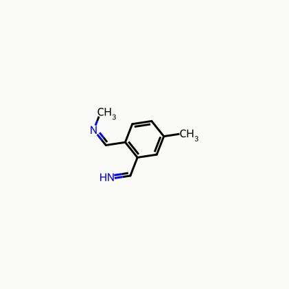 C/N=C\c1ccc(C)cc1C=N